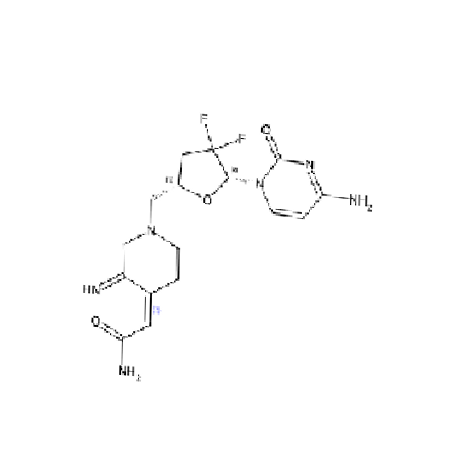 N=C1CN(C[C@@H]2CC(F)(F)[C@H](n3ccc(N)nc3=O)O2)CC/C1=C/C(N)=O